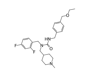 CCOCc1ccc(CNC(=O)N(Cc2ccc(F)cc2F)CC2CCN(C)CC2)cc1